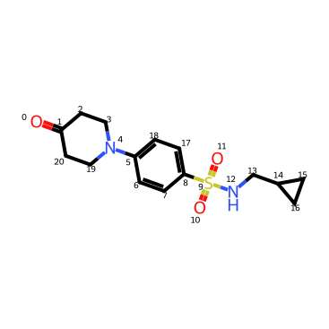 O=C1CCN(c2ccc(S(=O)(=O)NCC3CC3)cc2)CC1